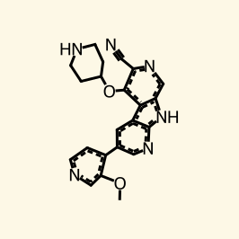 COc1cnccc1-c1cnc2[nH]c3cnc(C#N)c(OC4CCNCC4)c3c2c1